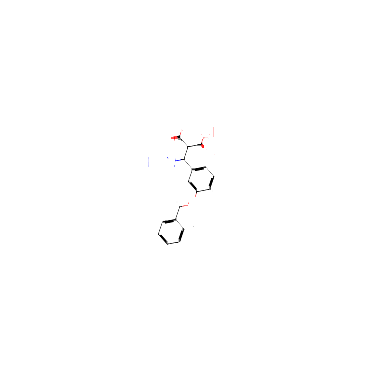 NC(c1cccc(OCc2ccccc2)c1)C(C(=O)O)C(=O)O